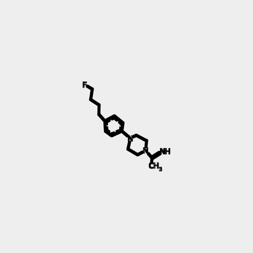 CC(=N)N1CCN(c2ccc(CCCCF)cc2)CC1